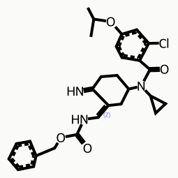 CC(C)Oc1ccc(C(=O)N(C2CC2)C2CCC(=N)/C(=C\NC(=O)OCc3ccccc3)C2)c(Cl)c1